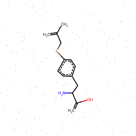 C=C(C)CSc1ccc(CC(N)C(=C)O)cc1